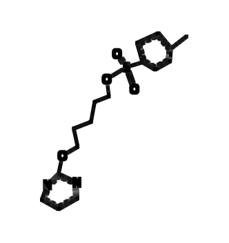 Cc1ccc(S(=O)(=O)OCCCCCOc2ncccn2)cc1